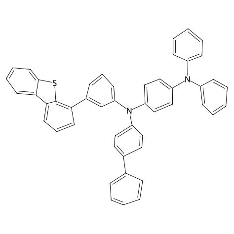 c1ccc(-c2ccc(N(c3ccc(N(c4ccccc4)c4ccccc4)cc3)c3cccc(-c4cccc5c4sc4ccccc45)c3)cc2)cc1